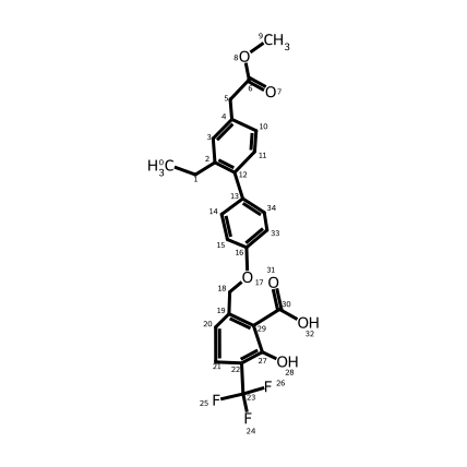 CCc1cc(CC(=O)OC)ccc1-c1ccc(OCc2ccc(C(F)(F)F)c(O)c2C(=O)O)cc1